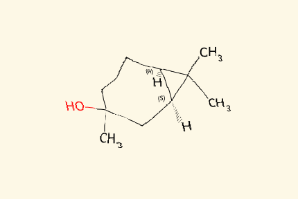 CC1(O)CC[C@@H]2[C@H](C1)C2(C)C